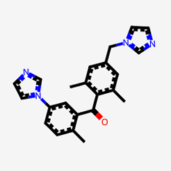 Cc1ccc(-n2ccnc2)cc1C(=O)c1c(C)cc(Cn2ccnc2)cc1C